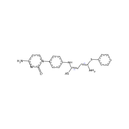 N/C(=C\C=C(\S)Nc1ccc(-n2ccc(N)nc2=O)cc1)Sc1ccccc1